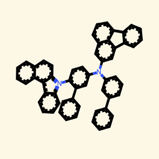 c1ccc(-c2cccc(N(c3ccc(-n4c5ccccc5c5c6ccccc6ccc54)c(-c4ccccc4)c3)c3cc4c5c(cccc5c3)-c3ccccc3-4)c2)cc1